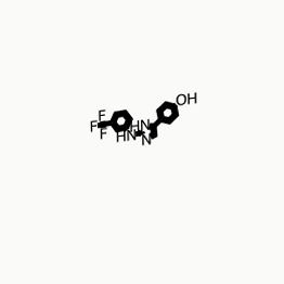 Oc1ccc(-c2cnc(Nc3cccc(C(F)(F)F)c3)[nH]2)cc1